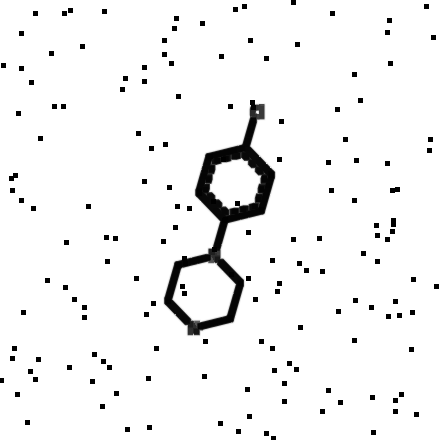 Clc1ccc(N2CC[N]CC2)cc1